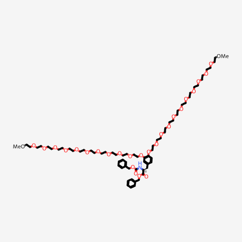 COCCOCCOCCOCCOCCOCCOCCOCCOCCOCCOCCOc1ccc(C[C@H](NC(=O)OCc2ccccc2)C(=O)OCc2ccccc2)cc1OCCOCCOCCOCCOCCOCCOCCOCCOCCOCCOCCOC